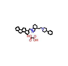 O=C(O)C(=O)O.c1ccc(C2CCN(CCC3CCCc4c3cnn4Cc3cccc4c3ccc3c5ccccc5ccc43)CC2)cc1